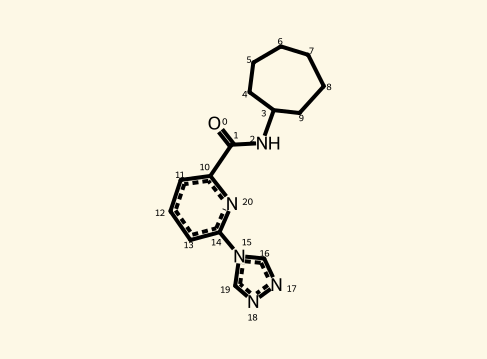 O=C(NC1CCCCCC1)c1cccc(-n2cnnc2)n1